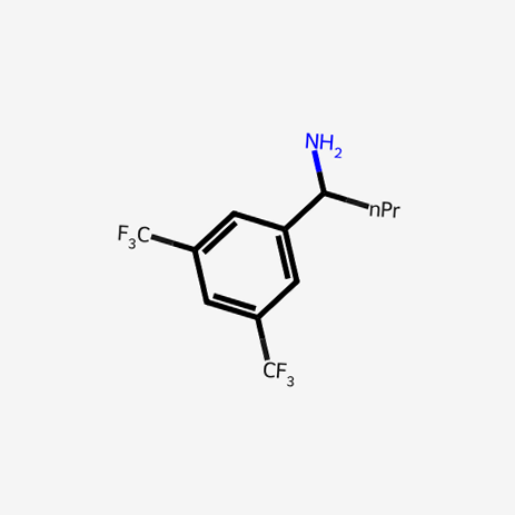 CCCC(N)c1cc(C(F)(F)F)cc(C(F)(F)F)c1